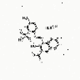 Cc1ccc(/N=N/c2c(O)c(C(=O)O)cc3ccccc23)c(S(=O)(=O)O)c1.[NaH].[NaH]